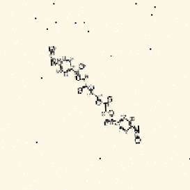 O=C=Nc1ccc(C(=O)OCC(=O)OCCOC(=O)COC(=O)c2ccc(N=C=O)cc2)cc1